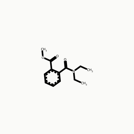 CCN(CC)C(=O)c1ccccc1C(=O)OC